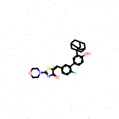 O=C1N=C(N2CCOCC2)S/C1=C/c1ccc(F)c(-c2ccc(O)c(C34CC5CC(CC(C5)C3)C4)c2)c1